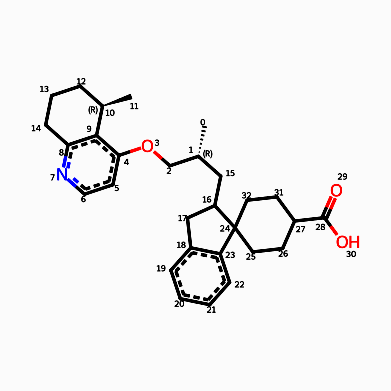 C[C@@H](COc1ccnc2c1[C@H](C)CCC2)CC1Cc2ccccc2C12CCC(C(=O)O)CC2